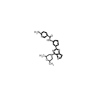 CC1CN(c2nc(-c3cccc(NC(=O)c4ccc(N)nc4)c3)nc3ccsc23)CC(C)O1